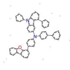 c1ccc(-c2ccc(N(c3ccc(-c4cccc5c4oc4ccccc45)cc3)c3ccc4c(c3)c3c(-c5ccccc5)cccc3n4-c3ccccc3)cc2)cc1